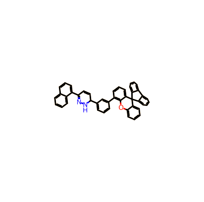 C1=CC(c2cccc(-c3cccc4c3Oc3ccccc3C43c4ccccc4-c4ccccc43)c2)NN=C1c1cccc2ccccc12